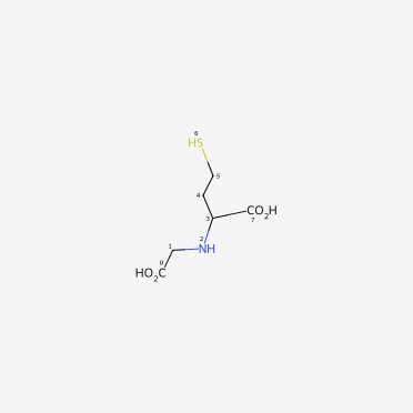 O=C(O)CNC(CCS)C(=O)O